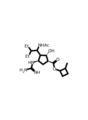 CCC(CC)C(NC(C)=O)C1[C@H](NC(=N)N)C[C@H](C(=O)OC2CCC2C)[C@H]1O